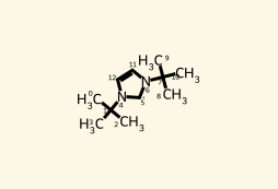 CC(C)(C)N1[CH]N(C(C)(C)C)C=C1